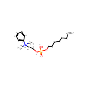 CCCCCCCCCCCCCCCCOP(=O)(O)OCC[N+](C)(C)c1ccccc1